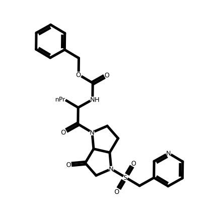 CCCC(NC(=O)OCc1ccccc1)C(=O)N1CCC2C1C(=O)CN2S(=O)(=O)Cc1cccnc1